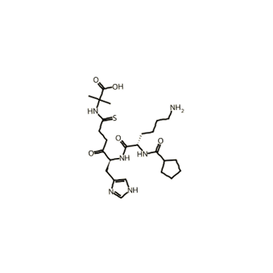 CC(C)(NC(=S)CCC(=O)[C@H](Cc1c[nH]cn1)NC(=O)[C@H](CCCCN)NC(=O)C1CCCC1)C(=O)O